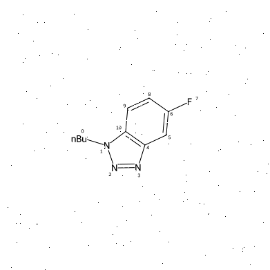 CCCCn1nnc2cc(F)ccc21